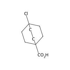 O=C(O)C12CCC(Cl)(CC1)CC2